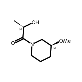 CO[C@H]1CCCN(C(=O)[C@H](C)O)C1